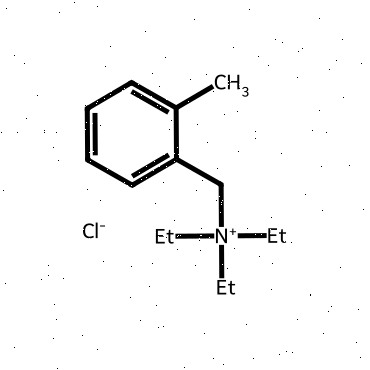 CC[N+](CC)(CC)Cc1ccccc1C.[Cl-]